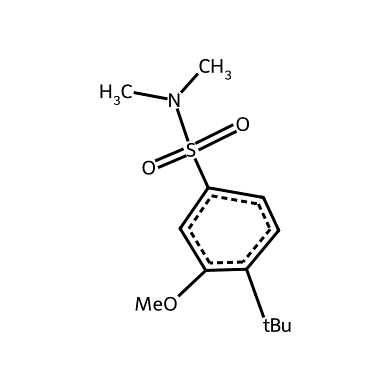 COc1cc(S(=O)(=O)N(C)C)ccc1C(C)(C)C